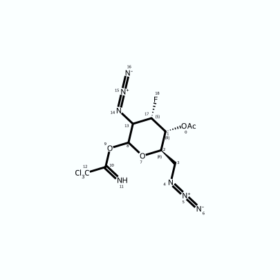 CC(=O)O[C@@H]1[C@@H](CN=[N+]=[N-])OC(OC(=N)C(Cl)(Cl)Cl)C(N=[N+]=[N-])[C@@H]1F